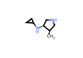 C[C@@H]1CNC[C@@H]1NC1CC1